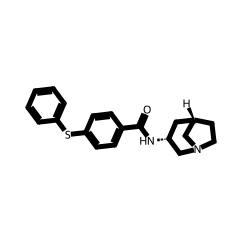 O=C(N[C@@H]1C[C@@H]2CCN(C2)C1)c1ccc(Sc2ccccc2)cc1